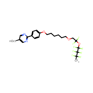 CCCCCCCCc1cnc(-c2ccc(OCCCCCCOCC(F)(F)OC(F)(F)C(F)(F)C(F)(F)C(F)(F)F)cc2)nc1